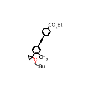 CCOC(=O)c1ccc(C#Cc2ccc(C3(OCC(C)(C)C)CC3)c(C)c2)cc1